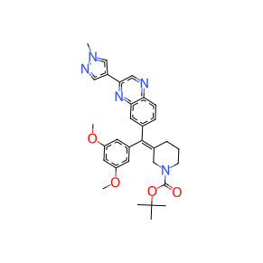 COc1cc(OC)cc(/C(=C2/CCCN(C(=O)OC(C)(C)C)C2)c2ccc3ncc(-c4cnn(C)c4)nc3c2)c1